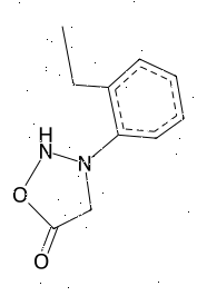 CCc1ccccc1N1CC(=O)ON1